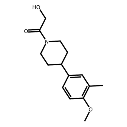 COc1ccc(C2CCN(C(=O)CO)CC2)cc1C